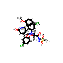 COc1ccc(C)cc1[C@@H]1NC(=O)C[C@H](c2cc(Cl)ccc2OC(C)(C)C(=O)NS(C)(=O)=O)[C@@]12C(=O)Nc1cc(Cl)ccc12